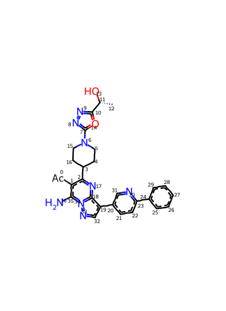 CC(=O)c1c(C2CCN(c3nnc([C@@H](C)O)o3)CC2)nc2c(-c3ccc(-c4ccccc4)nc3)cnn2c1N